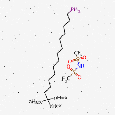 CCCCCCC(CCCCCC)(CCCCCC)CCCCCCCCCCCCCP.O=S(=O)(NS(=O)(=O)C(F)(F)F)C(F)(F)F